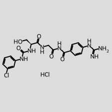 Cl.N=C(N)Nc1ccc(C(=O)NC(=O)CNC(=O)[C@H](CO)NC(=O)Nc2cccc(Cl)c2)cc1